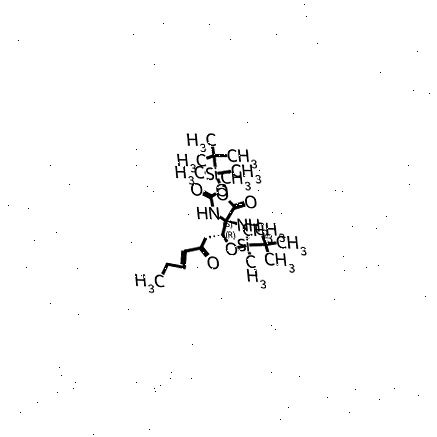 CCC=CC(=O)C[C@@H](O[Si](C)(C)C(C)(C)C)[C@](N)(NC(=O)O[Si](C)(C)C(C)(C)C)C(=O)OC